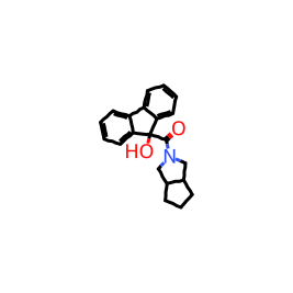 O=C(N1CC2CCCC2C1)C1(O)c2ccccc2-c2ccccc21